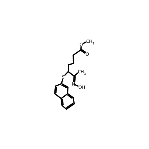 COC(=O)CCCC(Sc1ccc2ccccc2c1)C(C)=NO